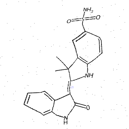 CC1(C)/C(=C2/C(=O)Nc3ccccc32)Nc2ccc(S(N)(=O)=O)cc21